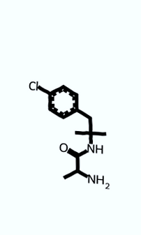 CC(N)C(=O)NC(C)(C)Cc1ccc(Cl)cc1